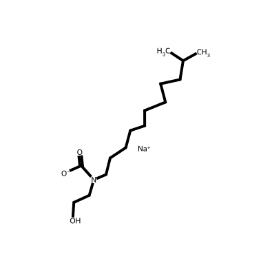 CC(C)CCCCCCCCCN(CCO)C(=O)[O-].[Na+]